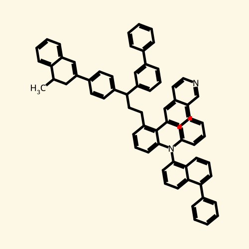 CC1CC(c2ccc(C(CCc3cccc(N(c4ccccc4)c4cccc5c(-c6ccccc6)cccc45)c3-c3ccc4cnccc4c3)c3cccc(-c4ccccc4)c3)cc2)=Cc2ccccc21